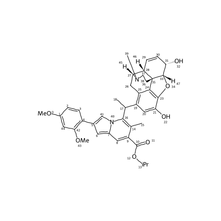 COc1ccc(-c2cc3cc(C(=O)OC(C)C)c(C)c(C(C)c4cc(O)c5c6c4C[C@@H]4[C@@H]7C=C[C@H](O)[C@H](O5)[C@]67CCN4C)n3c2)c(OC)c1